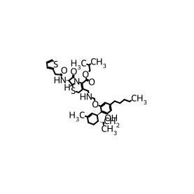 C=C(C)[C@@H]1CCC(C)=C[C@H]1c1c(O)cc(CCCCC)cc1OCNCC1=C(C(=O)OCC(C)C)N2C(=O)[C@@H](NC(=O)Cc3cccs3)[C@H]2SC1